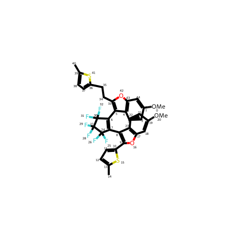 COc1ccc2c(C3=C(c4c(-c5ccc(C)s5)oc5cc(OC)ccc45)C(F)(F)C(F)(F)C3(F)F)c(CCc3ccc(C)s3)oc2c1